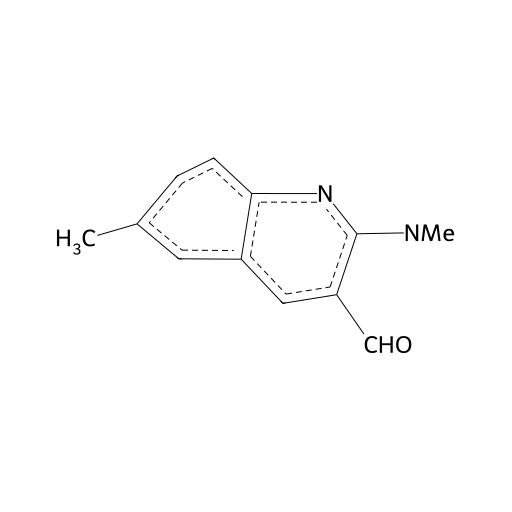 CNc1nc2ccc(C)cc2cc1C=O